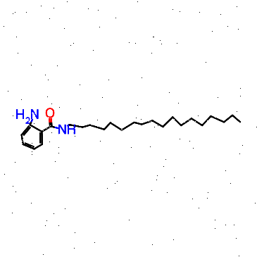 CCCCCCCCCCCCCCCCCCNC(=O)c1ccccc1N